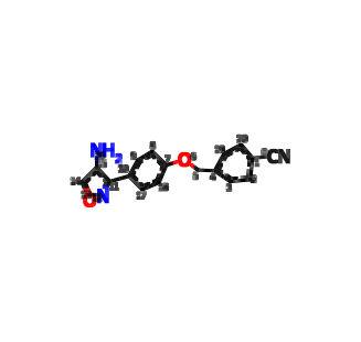 N#Cc1ccc(COc2ccc(-c3nocc3N)cc2)cc1